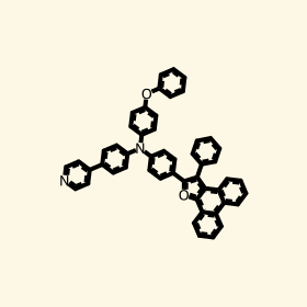 c1ccc(Oc2ccc(N(c3ccc(-c4ccncc4)cc3)c3ccc(-c4oc5c6ccccc6c6ccccc6c5c4-c4ccccc4)cc3)cc2)cc1